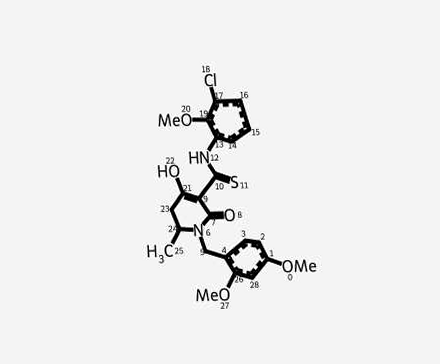 COc1ccc(CN2C(=O)C(C(=S)Nc3cccc(Cl)c3OC)=C(O)CC2C)c(OC)c1